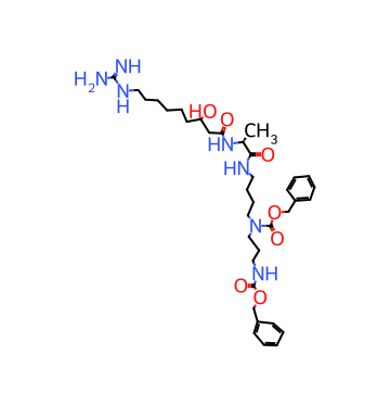 C[C@H](NC(=O)CC(O)CCCCCCNC(=N)N)C(=O)NCCCCN(CCCNC(=O)OCc1ccccc1)C(=O)OCc1ccccc1